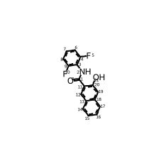 O=C(Nc1c(F)cccc1F)c1cc2ccccc2cc1O